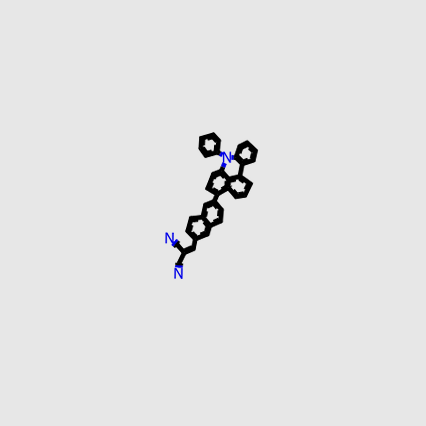 N#CC(C#N)=Cc1ccc2cc(-c3ccc4c5c(cccc35)-c3ccccc3N4c3ccccc3)ccc2c1